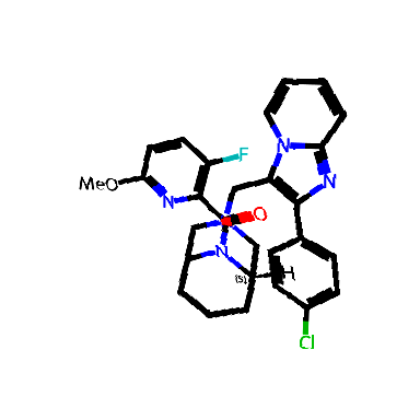 COc1ccc(F)c(C(=O)N2C3CCC[C@H]2CN(Cc2c(-c4ccc(Cl)cc4)nc4ccccn24)C3)n1